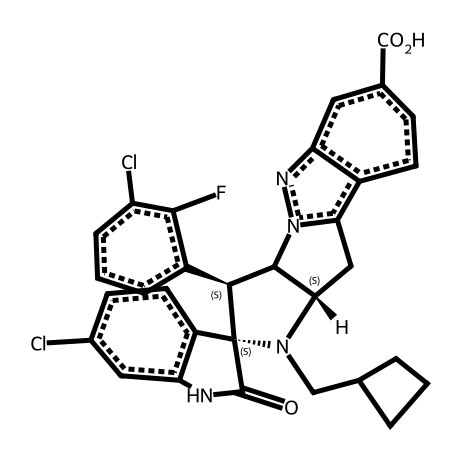 O=C(O)c1ccc2c3n(nc2c1)C1[C@H](C3)N(CC2CCC2)[C@@]2(C(=O)Nc3cc(Cl)ccc32)[C@H]1c1cccc(Cl)c1F